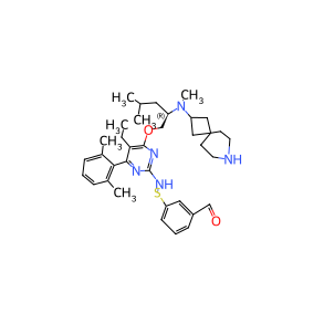 CCc1c(OC[C@@H](CC(C)C)N(C)C2CC3(CCNCC3)C2)nc(NSc2cccc(C=O)c2)nc1-c1c(C)cccc1C